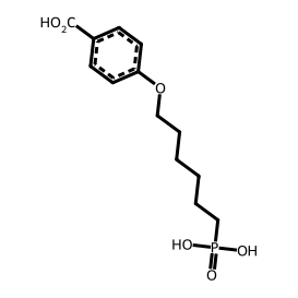 O=C(O)c1ccc(OCCCCCCP(=O)(O)O)cc1